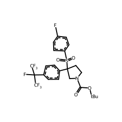 CC(C)(C)OC(=O)N1CCC(c2ccc(C(F)(C(F)(F)F)C(F)(F)F)cc2)(S(=O)(=O)c2ccc(F)cc2)C1